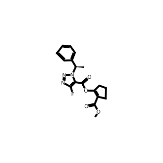 COC(=O)C1=C(OC(=O)c2c(F)nnn2[C@H](C)c2ccccc2)CCC1